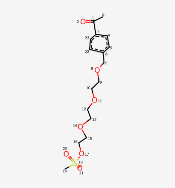 CC(=O)c1ccc(COCCOCCOCCOS(C)(=O)=O)cc1